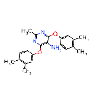 Cc1nc(Oc2ccc(C)c(C)c2)c(N)c(Oc2ccc(C)c(C(F)(F)F)c2)n1